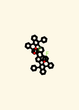 Fc1cccc(-c2ccccc2-c2c3c(c(-c4ccccc4)c4ccccc24)-c2ccc4c5ccc6c7c(ccc(c8ccc-3c2c48)c75)-c2c-6c(-c3ccccc3-c3cccc(F)c3)c3ccccc3c2-c2ccccc2)c1